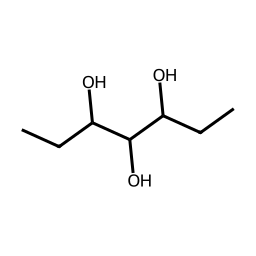 CCC(O)C(O)C(O)CC